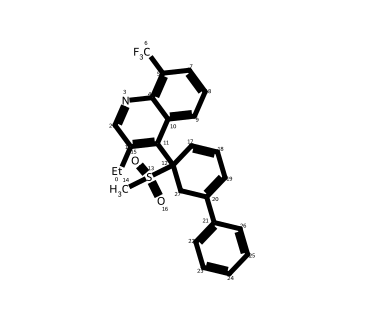 CCc1cnc2c(C(F)(F)F)cccc2c1C1(S(C)(=O)=O)C=CC=C(c2ccccc2)C1